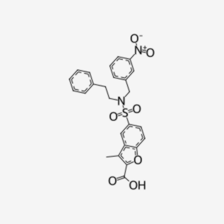 Cc1c(C(=O)O)oc2ccc(S(=O)(=O)N(CCc3ccccc3)Cc3cccc([N+](=O)[O-])c3)cc12